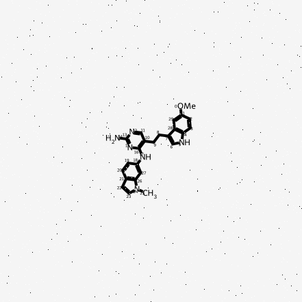 COc1ccc2[nH]cc(CCc3cnc(N)nc3Nc3ccc4ccn(C)c4c3)c2c1